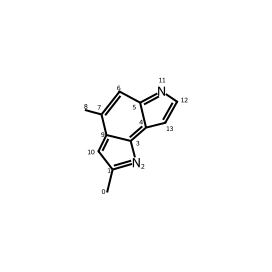 CC1=Nc2c3c(cc(C)c2=C1)=NC=C3